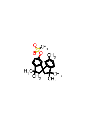 Cc1ccc2c(c1)C1(CC2(C)C)CC(C)(C)c2ccc(OS(=O)(=O)C(F)(F)F)cc21